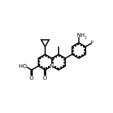 Cc1c(-c2ccc(F)c(N)c2)ccn2c(=O)c(C(=O)O)cc(C3CC3)c12